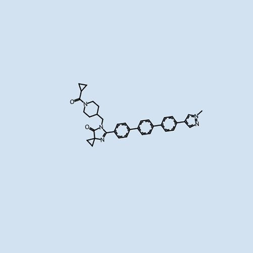 Cn1cc(-c2ccc(-c3ccc(-c4ccc(C5=NC6(CC6)C(=O)N5CC5CCN(C(=O)C6CC6)CC5)cc4)cc3)cc2)cn1